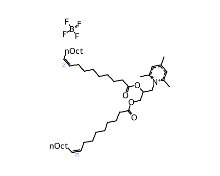 CCCCCCCC/C=C\CCCCCCCC(=O)OCC(C[n+]1c(C)cc(C)cc1C)OC(=O)CCCCCCC/C=C\CCCCCCCC.F[B-](F)(F)F